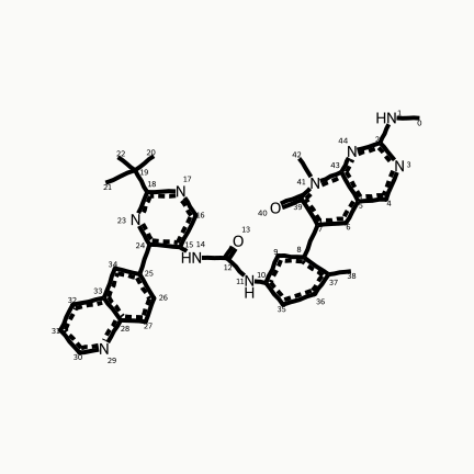 CNc1ncc2cc(-c3cc(NC(=O)Nc4cnc(C(C)(C)C)nc4-c4ccc5ncccc5c4)ccc3C)c(=O)n(C)c2n1